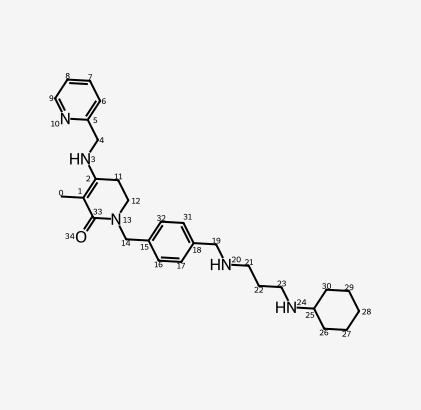 CC1=C(NCc2ccccn2)CCN(Cc2ccc(CNCCCNC3CCCCC3)cc2)C1=O